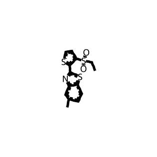 CCS(=O)(=O)c1ccsc1-c1nc2cc(C)ccc2s1